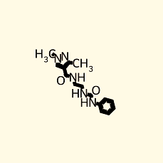 Cc1nn(C)cc1C(=O)NCCNC(=O)Nc1ccccc1